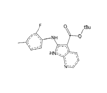 Cc1ccc(Nc2[nH]c3ncccc3c2C(=O)OC(C)(C)C)c(F)c1